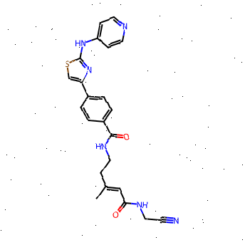 CC(=CC(=O)NCC#N)CCNC(=O)c1ccc(-c2csc(Nc3ccncc3)n2)cc1